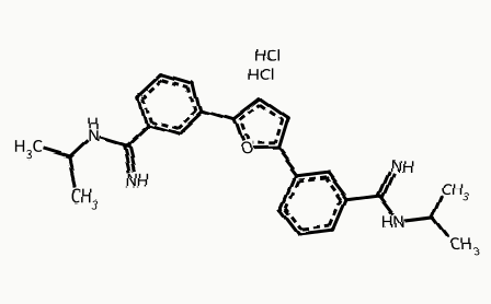 CC(C)NC(=N)c1cccc(-c2ccc(-c3cccc(C(=N)NC(C)C)c3)o2)c1.Cl.Cl